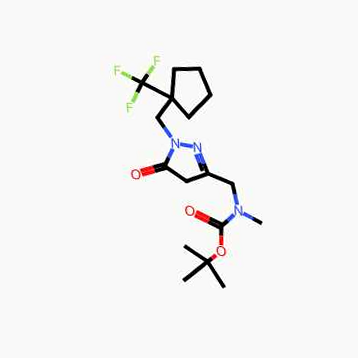 CN(CC1=NN(CC2(C(F)(F)F)CCCC2)C(=O)C1)C(=O)OC(C)(C)C